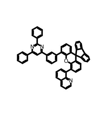 c1ccc(-c2cc(-c3cccc(-c4cccc5c4Oc4c(-c6cccc7cccnc67)cccc4C54c5ccccc5-c5ccccc54)c3)nc(-c3ccccc3)n2)cc1